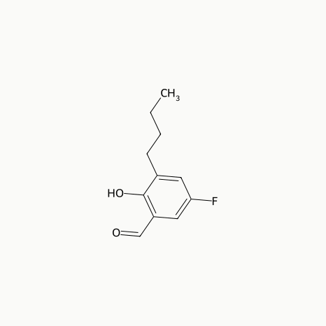 CCCCc1cc(F)cc(C=O)c1O